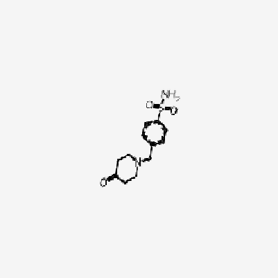 NS(=O)(=O)c1ccc(CN2CCC(=O)CC2)cc1